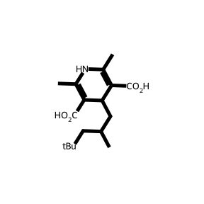 CC1=C(C(=O)O)C(CC(C)CC(C)(C)C)C(C(=O)O)=C(C)N1